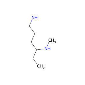 [CH2]CC(CCC[NH])NC